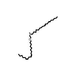 CCCCCC=CCC=CCCCCCCCCN(C)CCOCCCCCCCC/C=C\C/C=C\CCCCC